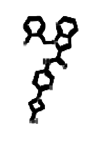 O=C(Nc1ccc(N2CC(O)C2)nc1)c1cc2cccnc2n1Cc1ccccc1F